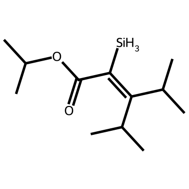 CC(C)OC(=O)C([SiH3])=C(C(C)C)C(C)C